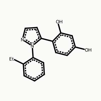 CCc1ccccc1-n1nccc1-c1ccc(O)cc1O